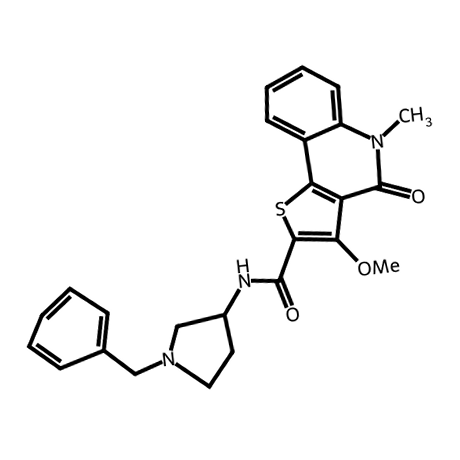 COc1c(C(=O)NC2CCN(Cc3ccccc3)C2)sc2c1c(=O)n(C)c1ccccc21